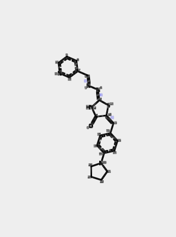 O=C1N/C(=N\N=C\c2cccnc2)S/C1=C/c1ccc(N2CCCC2)cc1